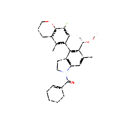 Cc1cc2c(c(-c3cc(F)c4c(c3C)CCCO4)c1[C@H](OC(C)(C)C)C(=O)O)CCN2C(=O)C1=CCCCC1